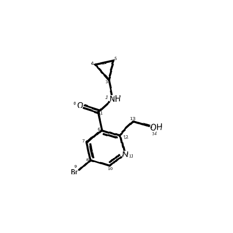 O=C(NC1CC1)c1cc(Br)cnc1CO